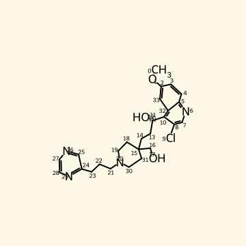 COc1ccc2ncc(Cl)c([C@@H](O)CCC3(CO)CCN(CCCc4cnccn4)CC3)c2c1